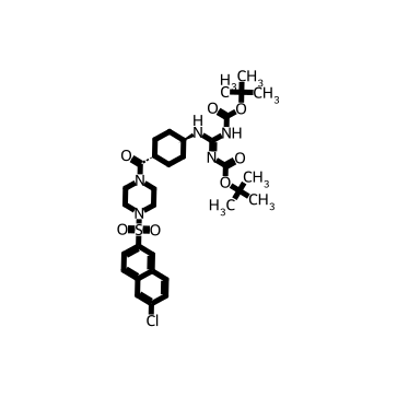 CC(C)(C)OC(=O)N=C(NC(=O)OC(C)(C)C)N[C@H]1CC[C@H](C(=O)N2CCN(S(=O)(=O)c3ccc4cc(Cl)ccc4c3)CC2)CC1